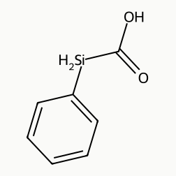 O=C(O)[SiH2]c1ccccc1